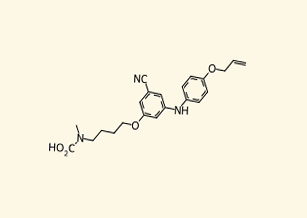 C=CCOc1ccc(Nc2cc(C#N)cc(OCCCCN(C)C(=O)O)c2)cc1